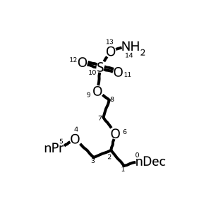 CCCCCCCCCCCC(COCCC)OCCOS(=O)(=O)ON